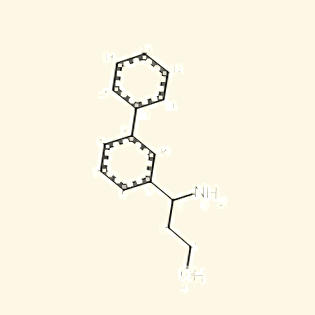 NC(CCO)c1cccc(-c2ccccc2)c1